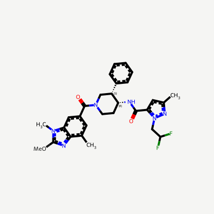 COc1nc2c(C)cc(C(=O)N3CC[C@@H](NC(=O)c4cc(C)nn4CC(F)F)[C@@H](c4ccccc4)C3)cc2n1C